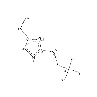 CCc1cnc(SCC(C)(C)C)o1